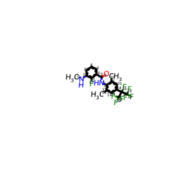 CNc1cccc(C(=O)Nc2c(C)cc(C(F)(C(F)(F)F)C(F)(F)F)cc2C)c1F